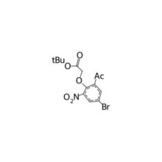 CC(=O)c1cc(Br)cc([N+](=O)[O-])c1OCC(=O)OC(C)(C)C